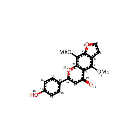 COc1c2occc2c(OC)c2c(=O)cc(-c3ccc(O)cc3)oc12